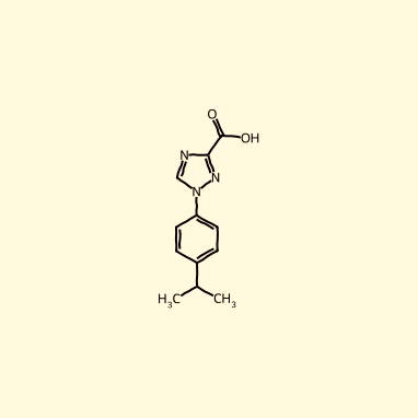 CC(C)c1ccc(-n2cnc(C(=O)O)n2)cc1